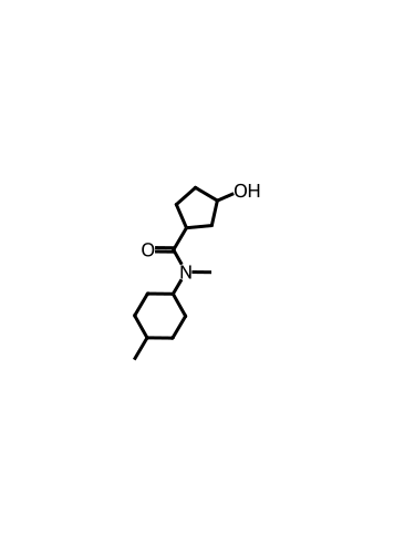 CC1CCC(N(C)C(=O)C2CCC(O)C2)CC1